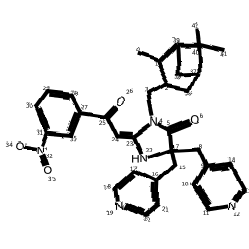 CC1C(CN2C(=O)C(Cc3ccncc3)(Cc3ccncc3)N/C2=C/C(=O)c2cccc([N+](=O)[O-])c2)CC2CC1C2(C)C